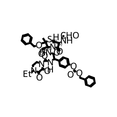 CCN1CCN(C(=O)NC(C(=O)N[C@@]2(C(=O)OCc3ccccc3)N3C(=O)[C@H](NC=O)[C@H]3SC2(C)C)c2ccc(OC(=O)OCc3ccccc3)cc2)C(=O)C1=O